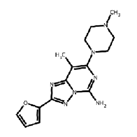 Cc1c(N2CCN(C)CC2)nc(N)n2nc(-c3ccco3)nc12